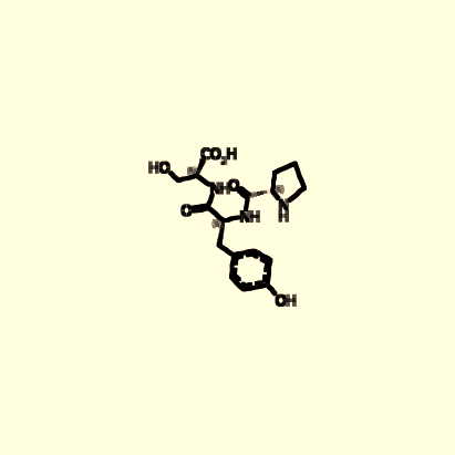 O=C(O)[C@H](CO)NC(=O)[C@H](Cc1ccc(O)cc1)NC(=O)[C@@H]1CCCN1